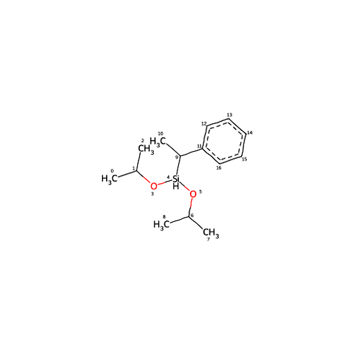 CC(C)O[SiH](OC(C)C)C(C)c1ccccc1